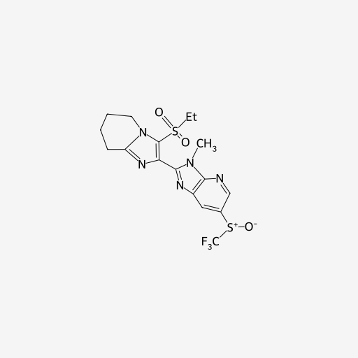 CCS(=O)(=O)c1c(-c2nc3cc([S+]([O-])C(F)(F)F)cnc3n2C)nc2n1CCCC2